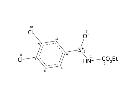 CCOC(=O)N[S+]([O-])c1ccc(Cl)c(Cl)c1